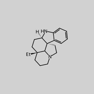 CC[C@@]12CCCN3CC[C@]4(c5ccccc5N[C@@H]4CC1)C32